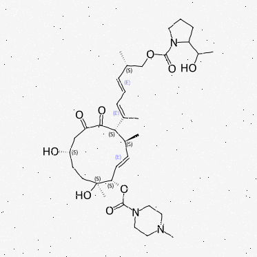 C/C(=C\C=C\[C@H](C)COC(=O)N1CCCC1C(C)O)[C@H]1C(=O)C(=O)C[C@@H](O)CC[C@](C)(O)[C@@H](OC(=O)N2CCN(C)CC2)/C=C/[C@@H]1C